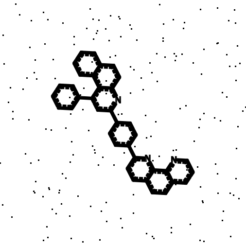 c1ccc(-c2cc(-c3ccc(-c4ccc5ccc6cccnc6c5n4)cc3)nc3ccc4ccccc4c23)cc1